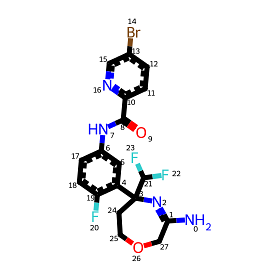 NC1=NC(c2cc(NC(=O)c3ccc(Br)cn3)ccc2F)(C(F)F)CCOC1